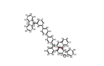 c1cc(-c2ccc(-c3ccc(N(c4ccc5ccccc5c4)c4ccccc4-c4ccc5c(c4)oc4ccccc45)cc3)cc2)cc(-n2c3ccccc3c3ccccc32)c1